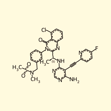 C[C@H](Nc1ncnc(N)c1C#Cc1ccc(F)cn1)c1nc2cccc(Cl)c2c(=O)n1-c1cccc(CN(C)S(C)(=O)=O)c1